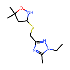 CCn1nc(CSC2CC(C)(C)ON2)nc1C